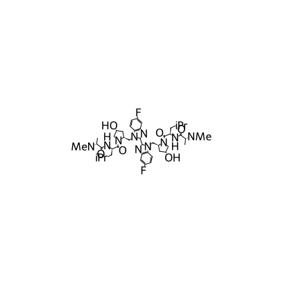 CN[C@H](C)C(=O)N[C@H](CC(C)C)C(=O)N1CC(O)C[C@H]1Cn1c(-c2nc3cc(F)ccc3n2C[C@@H]2CC(O)CN2C(=O)[C@@H](CC(C)C)NC(=O)[C@@H](C)NC)nc2cc(F)ccc21